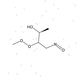 COOC(CN=O)[C@H](C)O